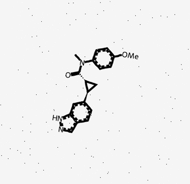 COc1ccc(N(C)C(=O)[C@@H]2C[C@H]2c2ccc3cn[nH]c3c2)cc1